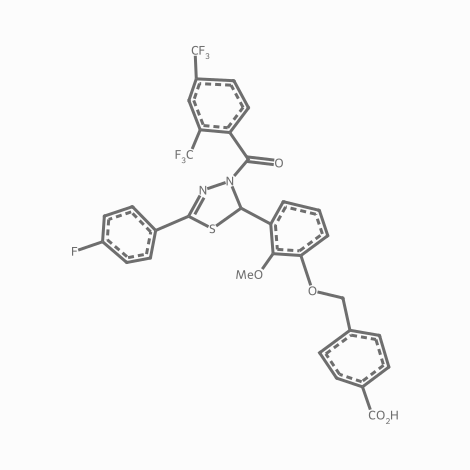 COc1c(OCc2ccc(C(=O)O)cc2)cccc1C1SC(c2ccc(F)cc2)=NN1C(=O)c1ccc(C(F)(F)F)cc1C(F)(F)F